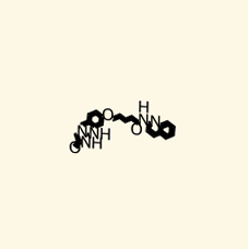 O=C(CCCCOC1CCC2CN3CC(=O)NC3NC2C1)Nc1ccc2ccccc2n1